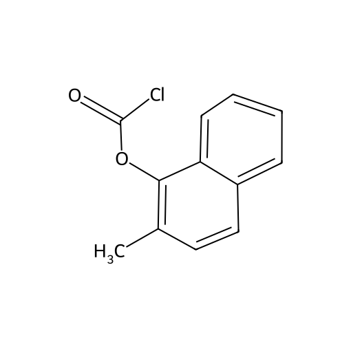 Cc1ccc2ccccc2c1OC(=O)Cl